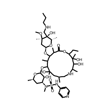 CCCNC[C@]1(O)[C@H](C)O[C@@H](OC2C(C)C(=O)OC(CC)C(C)(O)C(O)C(C)NCC(C)CC(C)(O)C(O[C@@H]3O[C@H](C)C[C@H](N(C)S(=O)(=O)Nc4ccncc4)[C@H]3O)C2C)C[C@@]1(C)OC